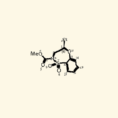 CC[C@@H]1CN(C(=O)OC)S(=O)(=O)c2ccccc2O1